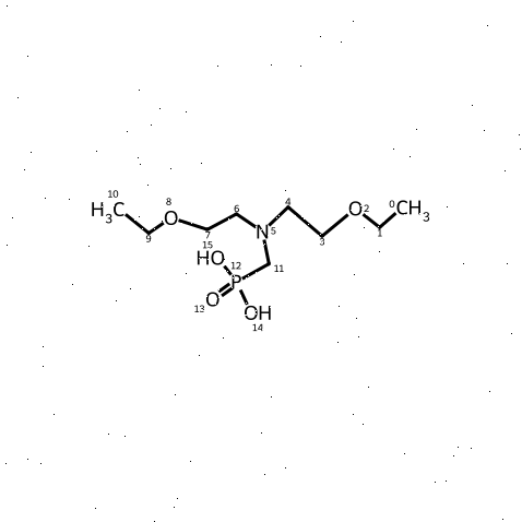 CCOCCN(CCOCC)CP(=O)(O)O